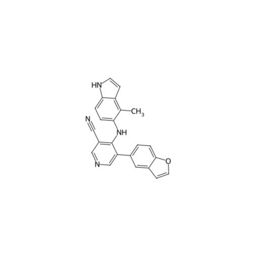 Cc1c(Nc2c(C#N)cncc2-c2ccc3occc3c2)ccc2[nH]ccc12